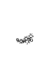 CC(=O)N(c1ccccc1)c1cccc(CN2CCC([C]=O)CC2)c1